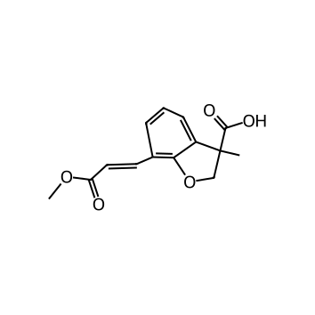 COC(=O)/C=C/c1cccc2c1OCC2(C)C(=O)O